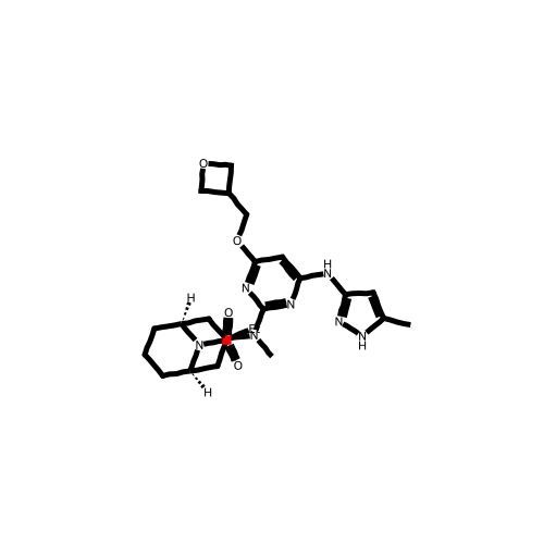 CCS(=O)(=O)N1[C@@H]2CCC[C@H]1C[C@@H](N(C)c1nc(Nc3cc(C)[nH]n3)cc(OCC3COC3)n1)C2